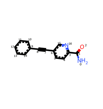 NC(=O)c1ccc(C#Cc2ccccc2)cn1